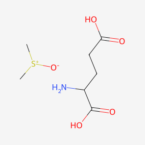 C[S+](C)[O-].NC(CCC(=O)O)C(=O)O